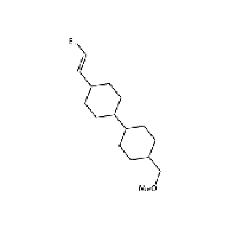 CCC=CC1CCC(C2CCC(COC)CC2)CC1